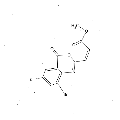 COC(=O)/C=C\c1nc2c(Br)cc(Cl)cc2c(=O)o1